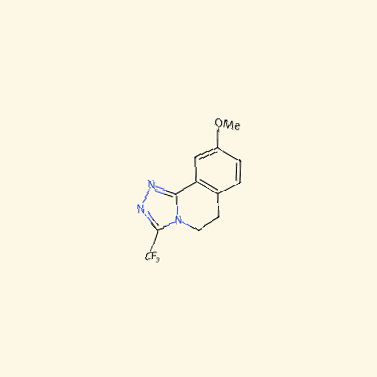 COc1ccc2c(c1)-c1nnc(C(F)(F)F)n1CC2